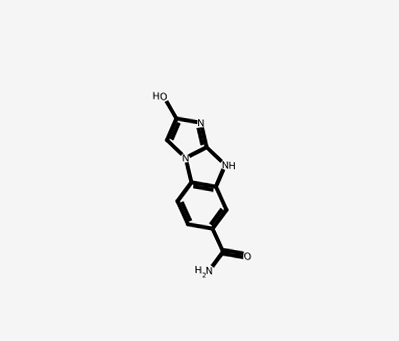 NC(=O)c1ccc2c(c1)[nH]c1nc(O)cn12